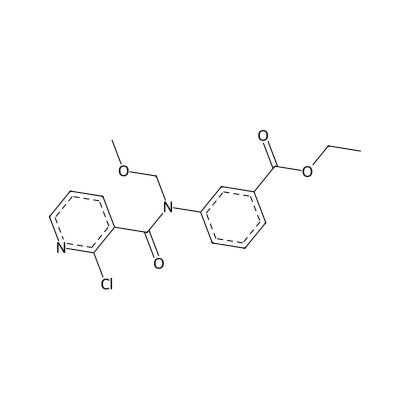 CCOC(=O)c1cccc(N(COC)C(=O)c2cccnc2Cl)c1